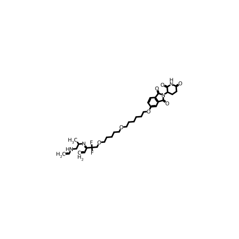 C=CNCC(C)/N=C(\C=C)C(F)(F)COCCCCCOCCCCCCOc1ccc2c(c1)C(=O)N(C1CCC(=O)NC1=O)C2=O